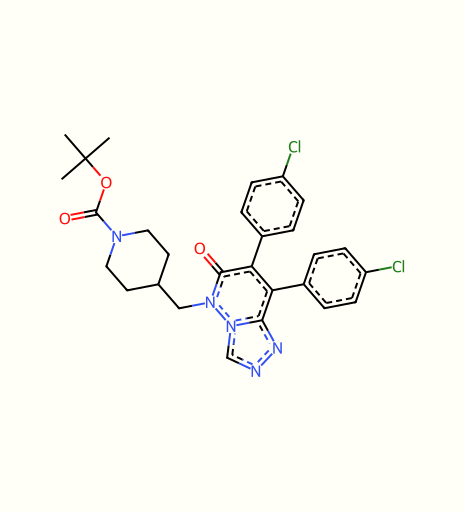 CC(C)(C)OC(=O)N1CCC(Cn2c(=O)c(-c3ccc(Cl)cc3)c(-c3ccc(Cl)cc3)c3nncn32)CC1